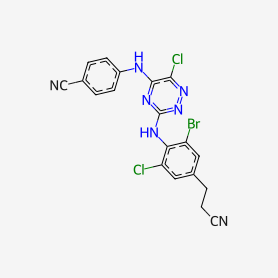 N#CCCc1cc(Cl)c(Nc2nnc(Cl)c(Nc3ccc(C#N)cc3)n2)c(Br)c1